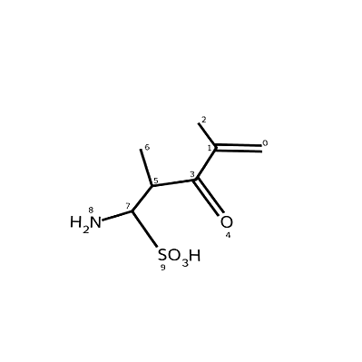 C=C(C)C(=O)C(C)C(N)S(=O)(=O)O